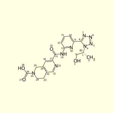 C[C@H](CO)n1nnnc1-c1cccc(NC(=O)c2cc3c(cn2)CCN(C(=O)O)C3)n1